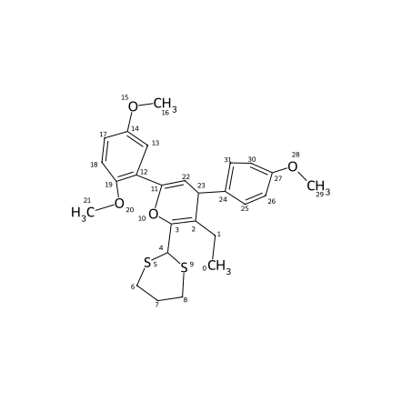 CCC1=C(C2SCCCS2)OC(c2cc(OC)ccc2OC)=CC1c1ccc(OC)cc1